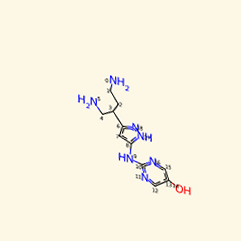 NCCC(CN)c1cc(Nc2ncc(O)cn2)[nH]n1